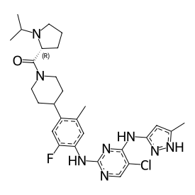 Cc1cc(Nc2nc(Nc3cc(C)c(C4CCN(C(=O)[C@H]5CCCN5C(C)C)CC4)cc3F)ncc2Cl)n[nH]1